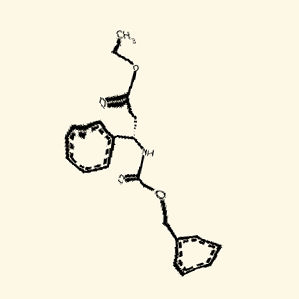 CCOC(=O)C[C@H](NC(=O)OCc1ccccc1)c1ccccc1